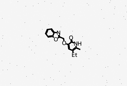 CCc1cc(OCc2nc3ccccc3o2)c(=O)[nH]c1C